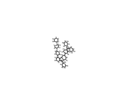 c1ccc(-c2ccc(-c3ccc(-c4cccc5c4c4cc(-c6ccc7c(c6)c6ccccc6n7-c6ccccc6)ccc4n5-c4ccccc4)cc3)cc2)cc1